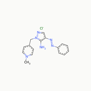 C[n+]1ccc(Cn2ncc(N=Nc3ccccc3)c2N)cc1.[Cl-]